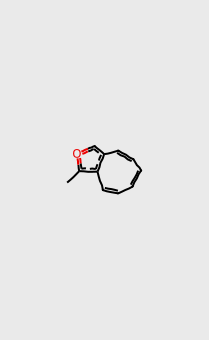 Cc1occ2c1C=CC=CC=C2